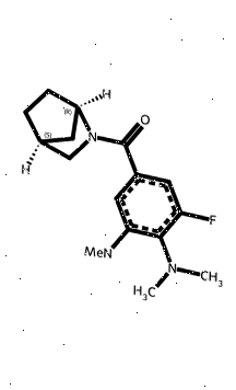 CNc1cc(C(=O)N2C[C@H]3CC[C@@H]2C3)cc(F)c1N(C)C